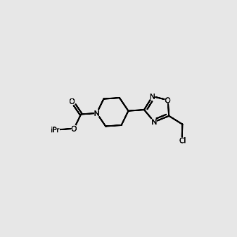 CC(C)OC(=O)N1CCC(c2noc(CCl)n2)CC1